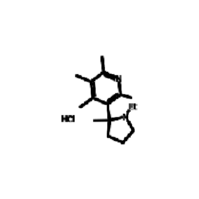 CCN1CCCC1(C)c1c(C)nc(C)c(C)c1C.Cl